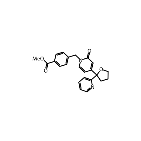 COC(=O)c1ccc(Cn2ccc(C3(c4ccccn4)CCCO3)cc2=O)cc1